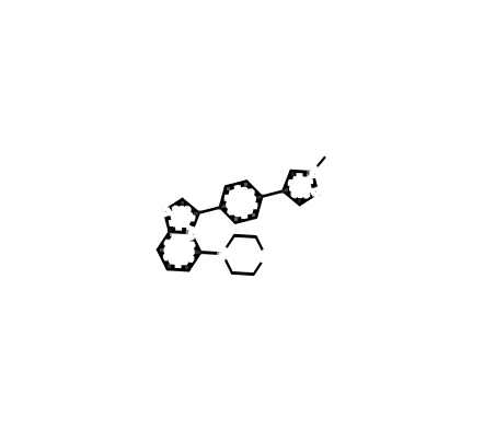 Cn1cc(-c2ccc(-c3cnc4cccc(N5CCOCC5)n34)cc2)cn1